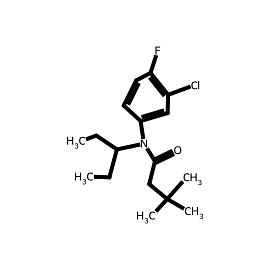 CCC(CC)N(C(=O)CC(C)(C)C)c1ccc(F)c(Cl)c1